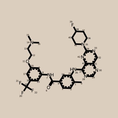 Cc1ccc(C(=O)Nc2cc(OCCN(C)C)cc(C(F)(F)F)c2)cc1Nc1ncnc2cnc(N3CCC(F)CC3)nc12